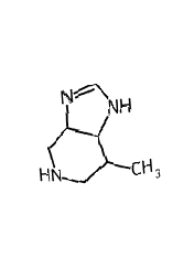 CC1CNCC2N=CNC12